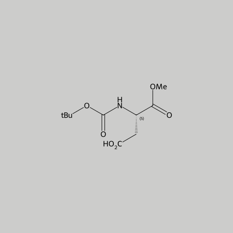 COC(=O)[C@H](CC(=O)O)NC(=O)OC(C)(C)C